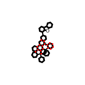 c1ccc(-c2ccccc2-c2c(-c3ccccc3)cccc2-c2ccccc2N(c2ccc(-c3cccc4c3oc3ccccc34)cc2)c2ccc3c(c2)C(c2ccccc2)(c2ccccc2)c2ccccc2-3)cc1